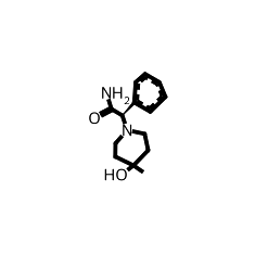 CC1(O)CCN([C@@H](C(N)=O)c2ccccc2)CC1